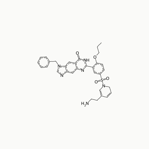 CCCOc1ccc(S(=O)(=O)N2C=C(CCN)C=CC2)cc1-c1nc2cc3ncn(Cc4ccccc4)c3cc2c(=O)[nH]1